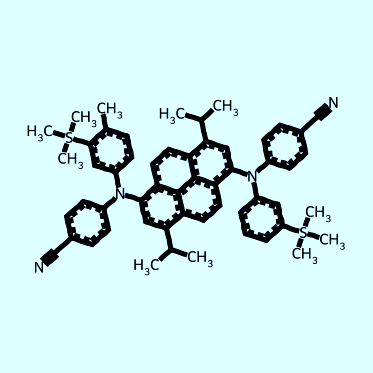 Cc1ccc(N(c2ccc(C#N)cc2)c2cc(C(C)C)c3ccc4c(N(c5ccc(C#N)cc5)c5cccc(S(C)(C)C)c5)cc(C(C)C)c5ccc2c3c54)cc1S(C)(C)C